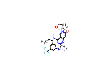 C=CC(Nc1nc(C)nc2cc(=O)n(C3(C)CCOC3)cc12)c1cc(N)cc(C(F)(F)F)c1